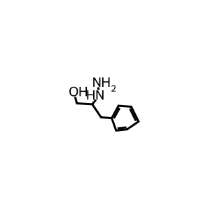 NNC(CO)Cc1ccccc1